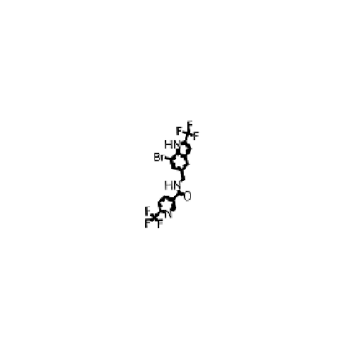 O=C(NCc1cc(Br)c2[nH]c(C(F)(F)F)cc2c1)c1ccc(C(F)(F)F)nc1